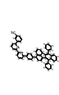 N#Cc1cccc(-c2cccc(-c3cccc(-c4ccc(-c5ccc6c7c(cccc57)-c5c-6c(-c6ccccc6)c6ccccc6c5-c5ccccc5)cc4)n3)n2)c1